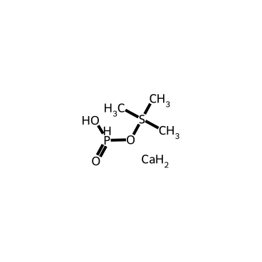 CS(C)(C)O[PH](=O)O.[CaH2]